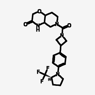 O=C1COC2CCN(C(=O)N3CC(c4ccc(N5CCC[C@@H]5C(F)(F)F)cc4)C3)CC2N1